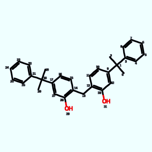 CC(C)(c1ccccc1)c1ccc(Cc2ccc(C(C)(C)c3ccccc3)cc2O)c(O)c1